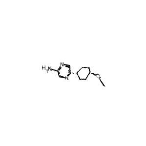 CO[C@H]1CC[C@H](c2cnc(N)cn2)CC1